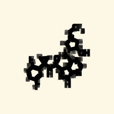 O=C(NC1(c2cc(F)ccc2F)CC1)c1n[nH]c2ncnc(N[C@@H]3CN(CC(F)(F)F)C[C@H]3O)c12